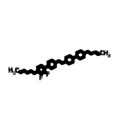 C/C=C/CCC1CCC(C2CCC(CCC3CC=C(c4ccc(CCCCCC)c(F)c4F)CC3)CC2)CC1